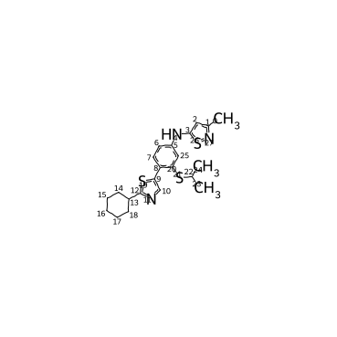 Cc1cc(Nc2ccc(-c3cnc(C4CCCCC4)s3)c(SC(C)C)c2)sn1